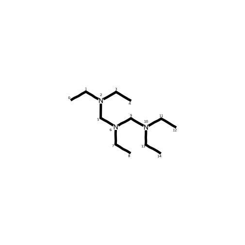 CCN(CC)CN(CC)CN(CC)CC